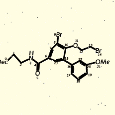 CCCCCCCCCCCCNC(=O)c1cc(Br)c(OCCBr)c(-c2cccc(OC)c2)c1